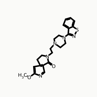 COc1cc2c(cn1)C(=O)N(CCN1CCN(c3nsc4ccccc34)CC1)CC2